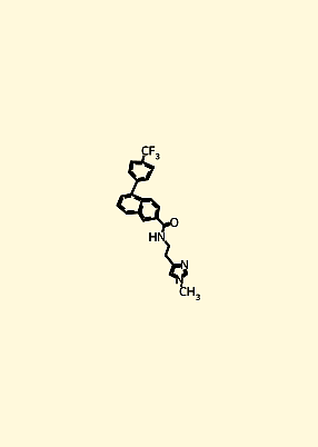 Cn1cnc(CCNC(=O)c2ccc3c(-c4ccc(C(F)(F)F)cc4)cccc3c2)c1